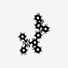 c1ccc(-c2nc(-c3ccccc3)nc(-c3cc(-c4ccc(-n5c6ccccc6c6c7oc8ccccc8c7ccc65)cc4)cc4c3sc3ccccc34)n2)cc1